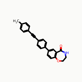 Cc1ccc(C#Cc2ccc(-c3ccc4c(c3)C(=O)NCCO4)cc2)cc1